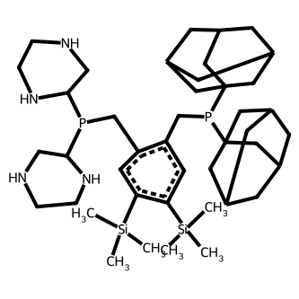 C[Si](C)(C)c1cc(CP(C2CNCCN2)C2CNCCN2)c(CP(C23CC4CC(CC(C4)C2)C3)C23CC4CC(CC(C4)C2)C3)cc1[Si](C)(C)C